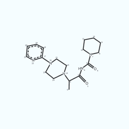 CC(C(=O)NC(=O)N1CCCCC1)N1CCN(c2ccccn2)CC1